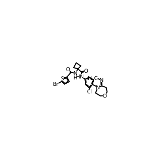 CN=C1CCOCCN1c1ccc(NC(=O)C2(NC(=O)c3ccc(Br)s3)CCC2)cc1Cl